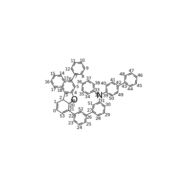 C1=CC2c3c(cc(-c4ccccc4)c4ccccc34)OC2C(c2cccc(-c3cccc(N(c4ccccc4)c4ccc(-c5ccccc5)cc4)c3)c2)=C1